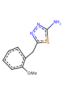 COc1ccccc1Cc1nnc(N)s1